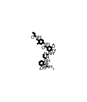 C=CC(=O)NCc1ccc(NC(=O)c2cc(Nc3nccc(Nc4cccc(OC)c4S(N)(=O)=O)n3)c(OC)c(OC)c2)cc1C